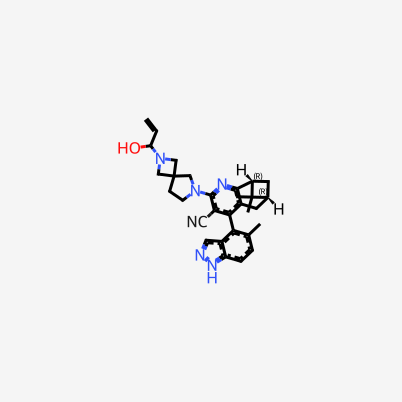 C=CC(O)N1CC2(CCN(c3nc4c(c(-c5c(C)ccc6[nH]ncc56)c3C#N)C[C@H]3C[C@@H]4C3(C)C)C2)C1